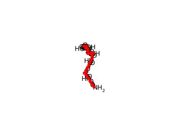 CC(C)(CCOC(=O)NCCOCCOCCN)SSCOCCCCOC(=O)NCC#Cc1cn([C@@H]2CC[C@@H](COP(=O)(O)OP(=O)(O)OP(=O)(O)O)O2)c(=O)[nH]c1=O